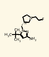 CC(C)(C)c1cc(N)nn1C[C@@H]1CCN(CCF)C1